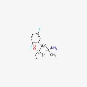 CC(C)(N)[C@@H]1CCC[C@@]1(O)Cc1cc(F)ccc1F